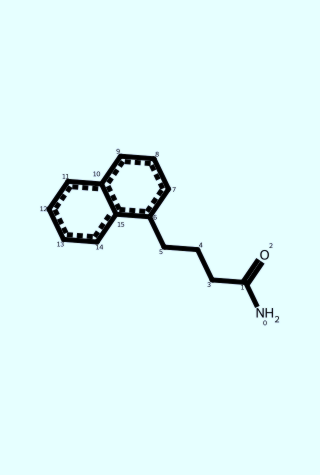 NC(=O)CCCc1cccc2ccccc12